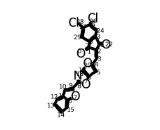 O=C1C(=Cc2cc3oc(-c4cc5ccccc5o4)nc3o2)C(=O)c2cc(Cl)c(Cl)cc21